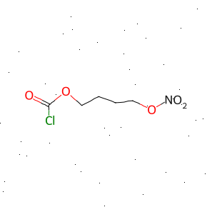 O=C(Cl)OCCCCO[N+](=O)[O-]